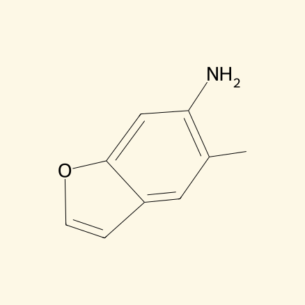 Cc1cc2ccoc2cc1N